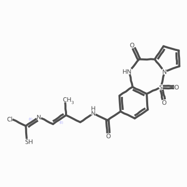 C/C(=C\N=C(/S)Cl)CNC(=O)c1ccc2c(c1)NC(=O)c1cccn1S2(=O)=O